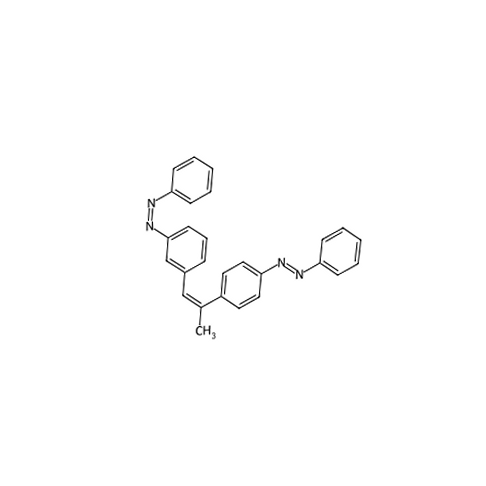 C/C(=C/c1cccc(/N=N\c2ccccc2)c1)c1ccc(/N=N/c2ccccc2)cc1